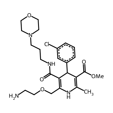 COC(=O)C1=C(C)NC(COCCN)=C(C(=O)NCCCN2CCOCC2)C1c1cccc(Cl)c1